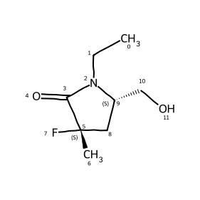 CCN1C(=O)[C@@](C)(F)C[C@H]1CO